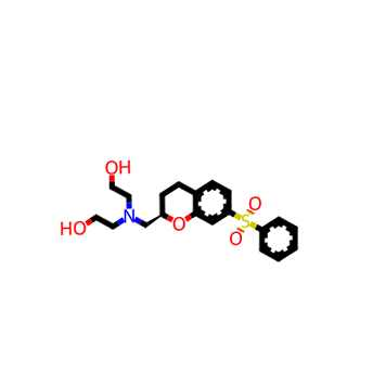 O=S(=O)(c1ccccc1)c1ccc2c(c1)O[C@@H](CN(CCO)CCO)CC2